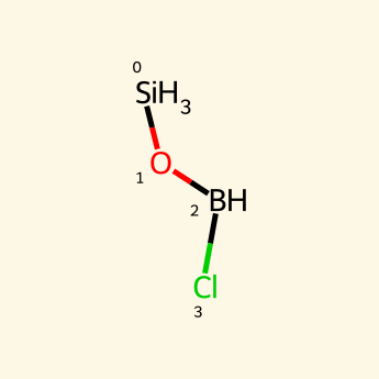 [SiH3]OBCl